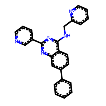 c1ccc(-c2ccc3c(NCc4ccccn4)nc(-c4cccnc4)nc3c2)cc1